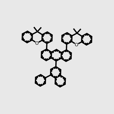 CC1(C)c2ccccc2Oc2c(-c3cccc4c(-c5cc(-c6ccccc6)c6ccccc6c5)c5cccc(-c6cccc7c6Oc6ccccc6C7(C)C)c5cc34)cccc21